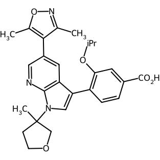 Cc1noc(C)c1-c1cnc2c(c1)c(-c1ccc(C(=O)O)cc1OC(C)C)cn2C1(C)CCOC1